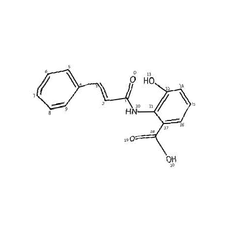 O=C(/C=C/c1ccccc1)Nc1c(O)cccc1C(=O)O